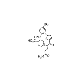 COc1ccc(C(C)(C)C)cc1-c1ccc(C(=O)C(CCC(N)=O)N2CCC(C(=O)O)CC2)s1